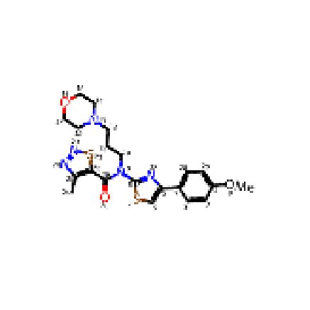 COc1ccc(-c2csc(N(CCCN3CCOCC3)C(=O)c3snnc3C)n2)cc1